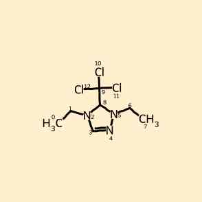 CCN1C=NN(CC)C1C(Cl)(Cl)Cl